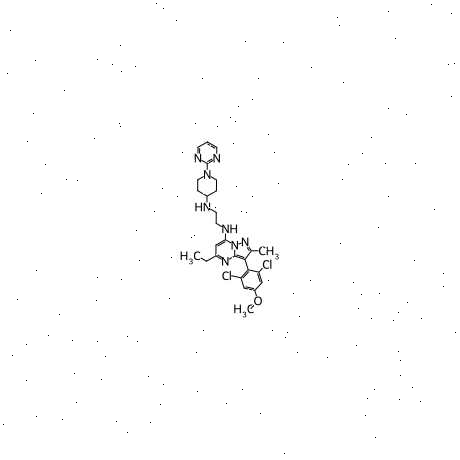 CCc1cc(NCCNC2CCN(c3ncccn3)CC2)n2nc(C)c(-c3c(Cl)cc(OC)cc3Cl)c2n1